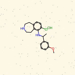 COc1cccc(C(C)Nc2c(Cl)ccc3c2CCNCC3)c1.Cl